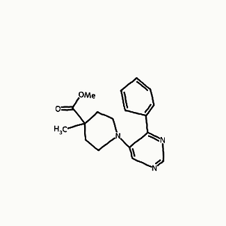 COC(=O)C1(C)CCN(c2cncnc2-c2ccccc2)CC1